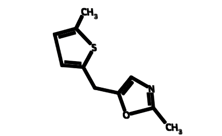 Cc1ncc(Cc2ccc(C)s2)o1